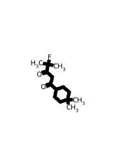 CC1(C)CCC(C(=O)CC(=O)C(C)(C)F)CC1